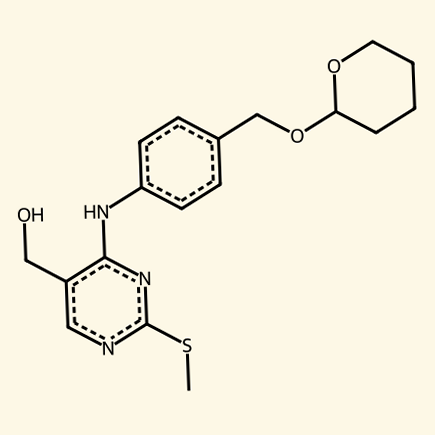 CSc1ncc(CO)c(Nc2ccc(COC3CCCCO3)cc2)n1